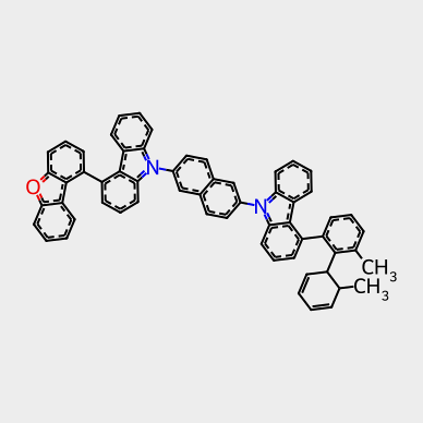 Cc1cccc(-c2cccc3c2c2ccccc2n3-c2ccc3cc(-n4c5ccccc5c5c(-c6cccc7oc8ccccc8c67)cccc54)ccc3c2)c1C1C=CC=CC1C